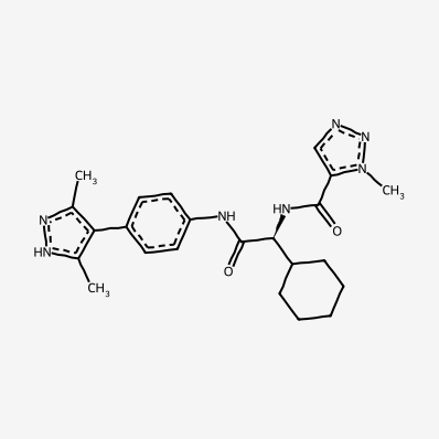 Cc1n[nH]c(C)c1-c1ccc(NC(=O)[C@@H](NC(=O)c2cnnn2C)C2CCCCC2)cc1